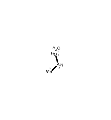 O.[OH][AlH][Mo]